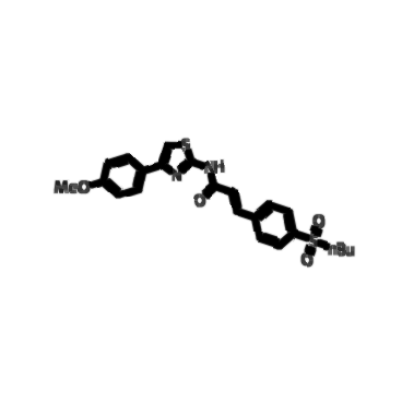 CCCCS(=O)(=O)c1ccc(C=CC(=O)Nc2nc(-c3ccc(OC)cc3)cs2)cc1